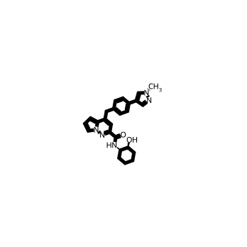 Cn1cc(-c2ccc(Cc3cc(C(=O)N[C@H]4CCCC[C@@H]4O)nn4cccc34)cc2)cn1